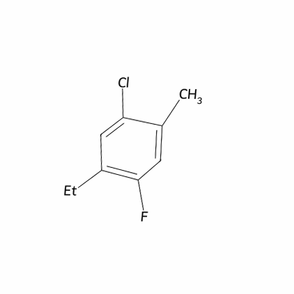 CCc1cc(Cl)c(C)cc1F